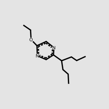 CCCC(CCC)c1cnc(OCC)cn1